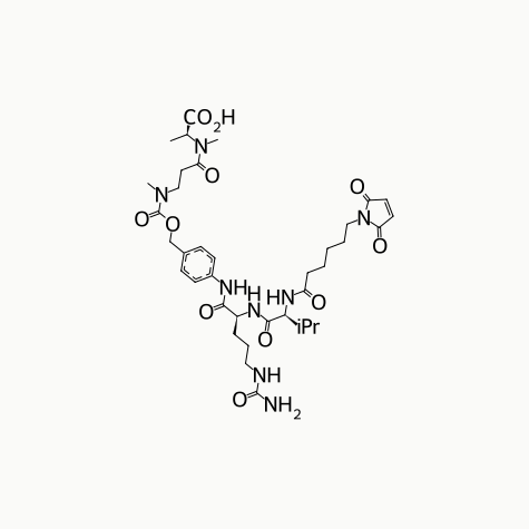 CC(C)[C@H](NC(=O)CCCCCN1C(=O)C=CC1=O)C(=O)N[C@@H](CCCNC(N)=O)C(=O)Nc1ccc(COC(=O)N(C)CCC(=O)N(C)[C@@H](C)C(=O)O)cc1